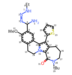 CCN/N=N\C(N)c1cc2c(cc1OC)CCn1c3c(c(-c4cccs4)c1-2)CCCN(C(C)(C)C)C3=O